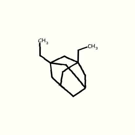 CCC12C[C]3CC(C1)CC(CC)(C3)C2